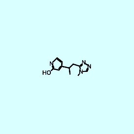 CC(Cc1nncn1C)c1ccnc(O)c1